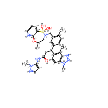 CCC1CN(Cc2cc(C(CC(=O)Nc3ccnn3C)c3ccc4c(nnn4CC)c3C)ccc2C)S(O)(O)c2cccnc2O1